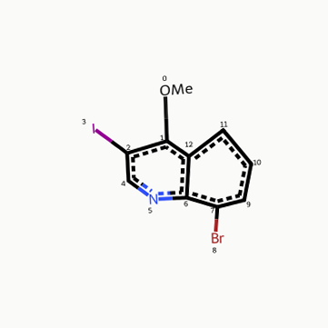 COc1c(I)cnc2c(Br)cccc12